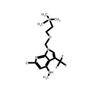 CNc1cc(Cl)nc2c1c(C(F)(F)F)cn2COCC[Si](C)(C)C